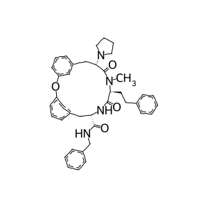 CN1C(=O)[C@@H](N2CCCC2)Cc2cccc(c2)Oc2cccc(c2)C[C@@H](C(=O)NCc2ccccc2)NC(=O)[C@@H]1CCc1ccccc1